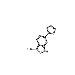 Nc1n[nH]c2cc(-c3ccsc3)ccc12